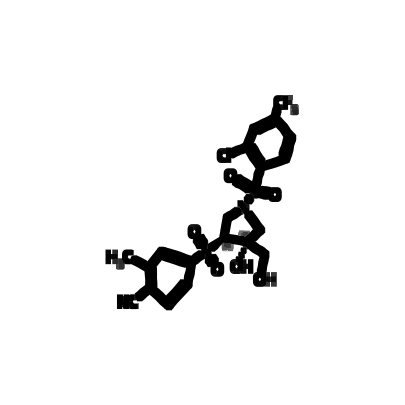 Cc1cc(S(=O)(=O)[C@H]2CN(S(=O)(=O)c3ccc(C(F)(F)F)cc3Cl)C[C@@]2(O)CO)ccc1C#N